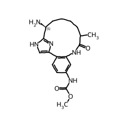 COC(=O)Nc1ccc2c(c1)NC(=O)C(C)CCCC[C@H](N)c1nc-2c[nH]1